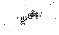 C=C1/C(=C\C=C2/CCC[C@@]3(C)C2CC[C@@H]3[C@H](C)/C=C/[C@H](O)P(=O)(O)O)C[C@@H](O)C[C@@H]1O